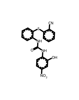 N#Cc1ccccc1Sc1ccccc1NC(=O)Nc1ccc([N+](=O)[O-])cc1O